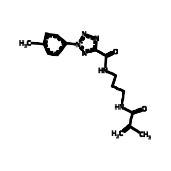 C=C(C)C(=O)NCCCNC(=O)c1nnn(-c2ccc(C)cc2)n1